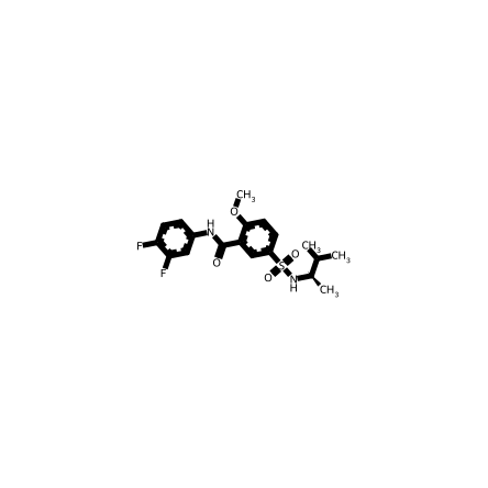 COc1ccc(S(=O)(=O)N[C@H](C)C(C)C)cc1C(=O)Nc1ccc(F)c(F)c1